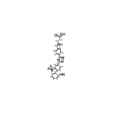 N#Cc1ccccc1-c1ccc(-c2nc(-c3ccc(CNCCC(=O)O)cc3)no2)cc1C(F)(F)F